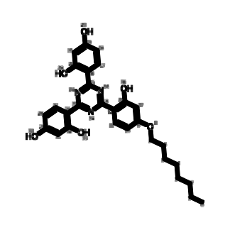 CCCCCCCCOc1ccc(-c2nc(-c3ccc(O)cc3O)nc(-c3ccc(O)cc3O)n2)c(O)c1